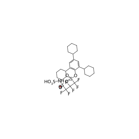 O=S(=O)(O)NS(=O)(=O)C(F)(F)C(F)(F)C(F)(F)S(=O)(=O)Oc1c(C2CCCCC2)cc(C2CCCCC2)cc1C1CCCCC1